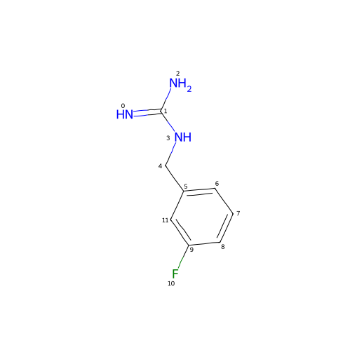 N=C(N)NCc1cccc(F)c1